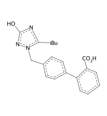 CCC(C)c1nc(O)nn1Cc1ccc(-c2ccccc2C(=O)O)cc1